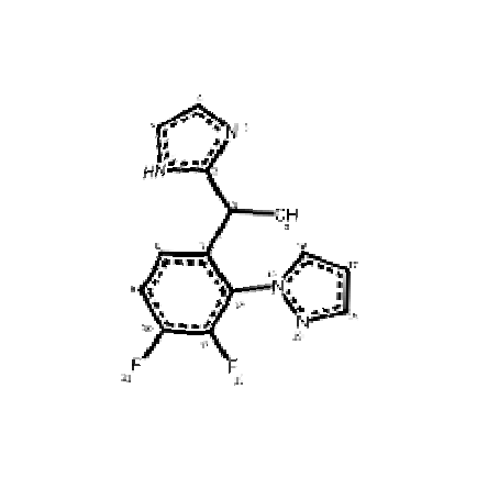 OC(c1ncc[nH]1)c1ccc(F)c(F)c1-n1cccn1